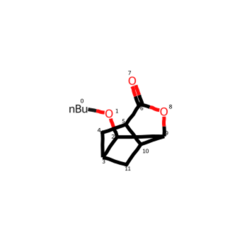 CCCCOC1C2CC3C(=O)OC1C3C2